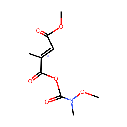 COC(=O)/C=C(\C)C(=O)OC(=O)N(C)OC